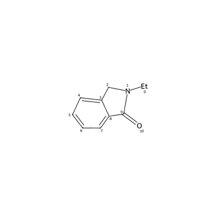 [CH2]CN1Cc2ccccc2C1=O